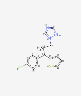 Fc1ccc(C([SiH2]Cn2cncn2)c2cccs2)cc1